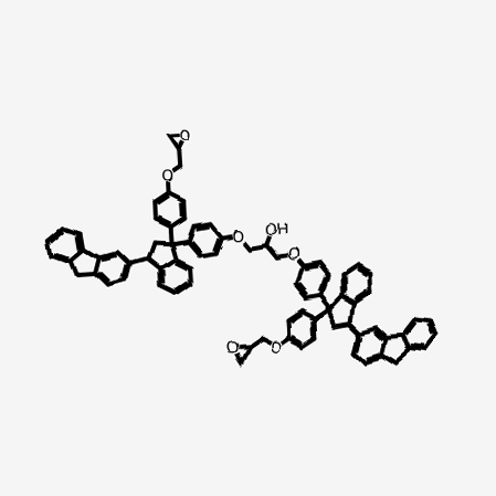 OC(COc1ccc(C2(c3ccc(OCC4CO4)cc3)CC(c3ccc4c(c3)-c3ccccc3C4)c3ccccc32)cc1)COc1ccc(C2(c3ccc(OCC4CO4)cc3)CC(c3ccc4c(c3)-c3ccccc3C4)c3ccccc32)cc1